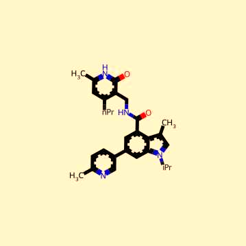 CCCc1cc(C)[nH]c(=O)c1CNC(=O)c1cc(-c2ccc(C)nc2)cc2c1c(C)cn2C(C)C